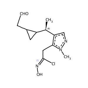 C[C@@H](c1cnn(C)c1C/C(Cl)=N/O)C1CC1CC=O